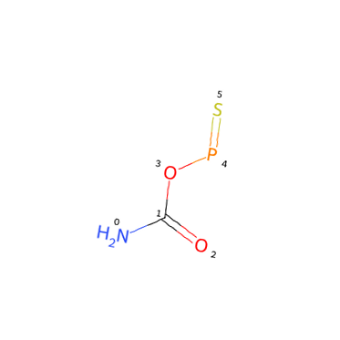 NC(=O)OP=S